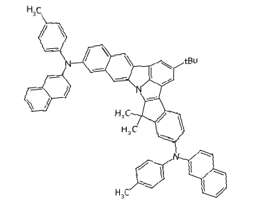 Cc1ccc(N(c2ccc3c(c2)C(C)(C)c2c-3c3cc(C(C)(C)C)cc4c5cc6ccc(N(c7ccc(C)cc7)c7ccc8ccccc8c7)cc6cc5n2c34)c2ccc3ccccc3c2)cc1